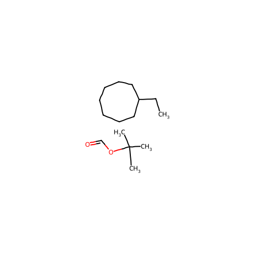 CC(C)(C)OC=O.CCC1CCCCCCC1